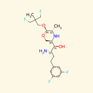 C[C@@H]1N[C@@H]([C@@H](O)[C@@H](N)CCc2cc(F)cc(F)c2)CO[C@H]1OCC(C)(CF)CF